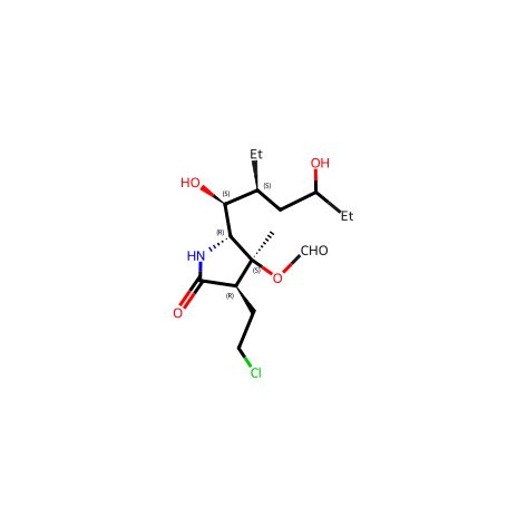 CCC(O)C[C@H](CC)[C@H](O)[C@H]1NC(=O)[C@H](CCCl)[C@]1(C)OC=O